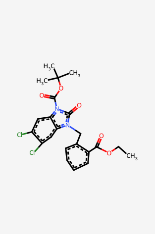 CCOC(=O)c1ccccc1Cn1c(=O)n(C(=O)OC(C)(C)C)c2cc(Cl)c(Cl)cc21